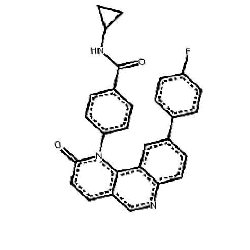 O=C(NC1CC1)c1ccc(-n2c(=O)ccc3cnc4ccc(-c5ccc(F)cc5)cc4c32)cc1